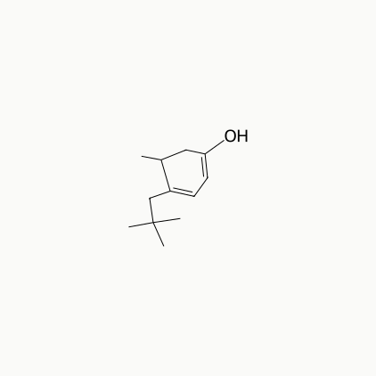 CC1CC(O)=CC=C1CC(C)(C)C